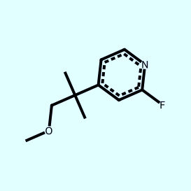 COCC(C)(C)c1ccnc(F)c1